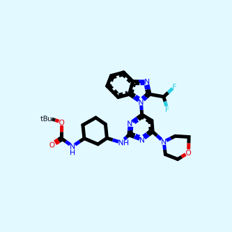 CC(C)(C)OC(=O)NC1CCCC(Nc2nc(N3CCOCC3)cc(-n3c(C(F)F)nc4ccccc43)n2)C1